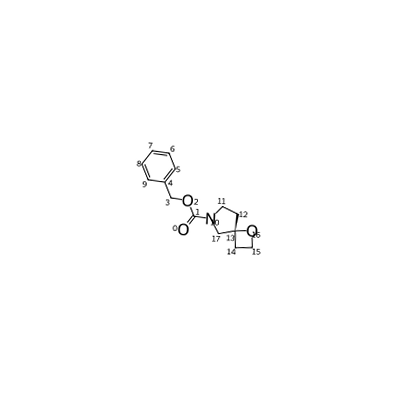 O=C(OCc1ccccc1)N1CC[C@@]2(CCO2)C1